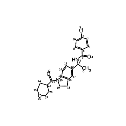 CC(NC(=O)c1ccc(Cl)cc1)c1ccc2c(c1)CCN2C(=O)C1CCOCC1